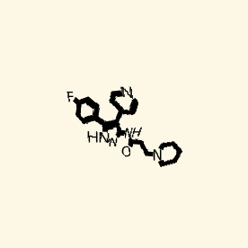 O=C(CCN1CCCCC1)Nc1n[nH]c(-c2ccc(F)cc2)c1-c1ccncc1